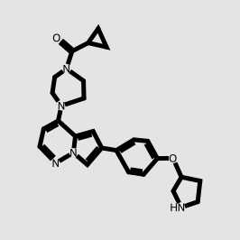 O=C(C1CC1)N1CCN(c2ccnn3cc(-c4ccc(OC5CCNC5)cc4)cc23)CC1